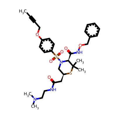 CC#CCOc1ccc(S(=O)(=O)N2C[C@H](CC(=O)NCCN(C)C)SC(C)(C)[C@@H]2C(=O)NOCc2ccccc2)cc1